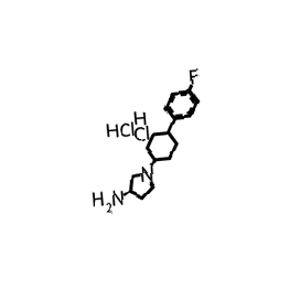 Cl.Cl.N[C@@H]1CCN(C2CCC(c3ccc(F)cc3)CC2)C1